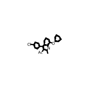 CC(=O)c1c(C)nc2c(Oc3ccccc3)cccc2c1-c1ccc(Cl)cc1